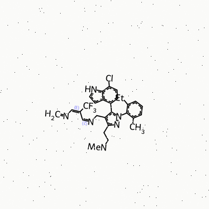 C=N/C=C(\C=N/Cc1c(CCNC)nn(-c2c(C)cccc2CC)c1-c1ccc(Cl)c2[nH]ccc12)C(F)(F)F